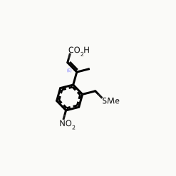 CSCc1cc([N+](=O)[O-])ccc1/C(C)=C/C(=O)O